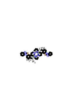 CC(C)(C)c1ccc2c(sc3nc4ccccc4n32)c1C1=CB2N3C=CC=CB3N3C=CC(c4c(C(C)(C)C)ccc5c4sc4nc6ccccc6n45)=CB3N3C=CC=CB3N2C=C1